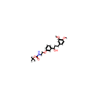 COc1ccc(CC[C@@H](O)c2cccc(OCCNC(=O)OC(C)(C)C)c2)cc1OC